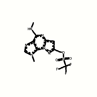 CNc1nc2cc(OS(=O)(=O)C(F)(F)F)nn2c2c1ncn2C